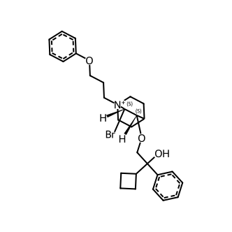 OC(CO[C@H]1C2CC[N+](CCCOc3ccccc3)(CC2)[C@H]1Br)(c1ccccc1)C1CCC1